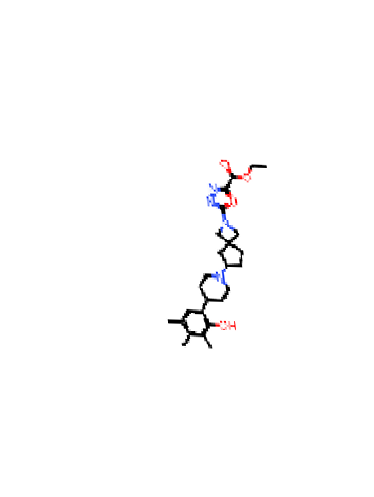 CCOC(=O)c1nnc(N2CC3(CC[C@@H](N4CCC(c5cc(C)c(C)c(C)c5O)CC4)C3)C2)o1